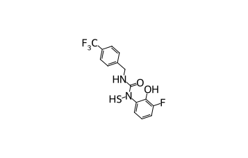 O=C(NCc1ccc(C(F)(F)F)cc1)N(S)c1cccc(F)c1O